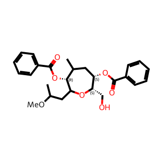 COC(C)CC1O[C@@H](CO)[C@@H](OC(=O)c2ccccc2)CC(C)[C@H]1OC(=O)c1ccccc1